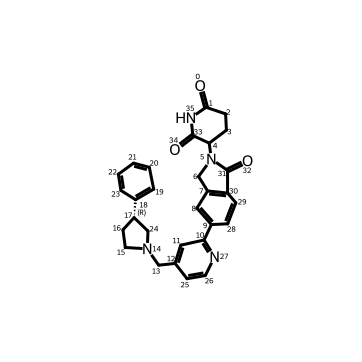 O=C1CCC(N2Cc3cc(-c4cc(CN5CC[C@H](c6ccccc6)C5)ccn4)ccc3C2=O)C(=O)N1